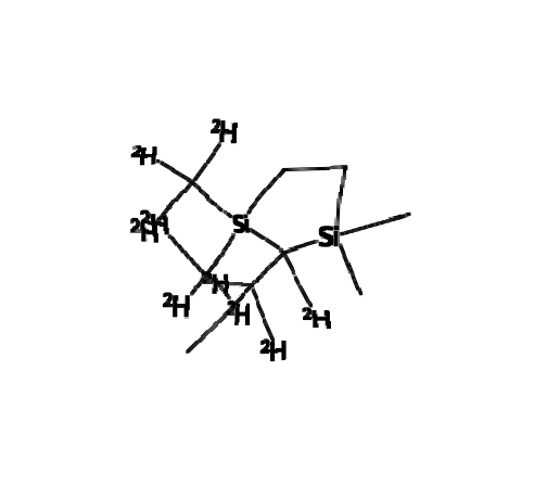 [2H]C([2H])(C)C1([2H])[Si](C)(C)CC[Si]1(C([2H])([2H])[2H])C([2H])([2H])[2H]